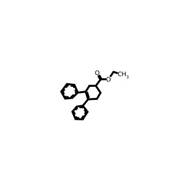 CCOC(=O)C1CCC(c2ccccc2)=C(c2ccccc2)C1